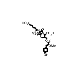 COC(=Cc1ccc(O)cc1)C(=O)OCC1=C(C(=O)O)N2C(=O)[C@](NC(=O)CCCCC(=O)O)(OC)[C@@H]2SC1